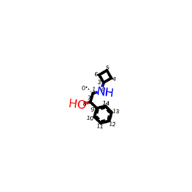 C[C@H](NC1CCC1)C(O)c1ccccc1